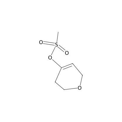 CS(=O)(=O)OC1=CCOCC1